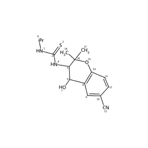 CC(C)NC(=S)NC1C(O)c2cc(C#N)ccc2OC1(C)C